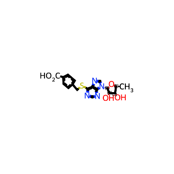 C[C@H]1O[C@@H](n2cnc3c(SCc4ccc(C(=O)O)cc4)ncnc32)[C@H](O)[C@@H]1O